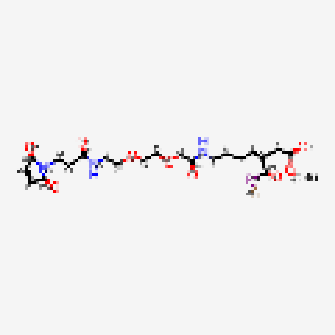 CC(C)(C)OC(=O)CC(CCCCNC(=O)COCCOCCNC(=O)CCN1C(=O)C=CC1=O)C(=O)P=S